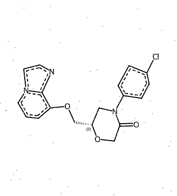 O=C1CO[C@H](COc2cccn3ccnc23)CN1c1ccc(Cl)cc1